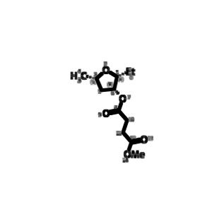 CC[C@H]1O[C@@H](C)C[C@H]1OC(=O)CCC(=O)OC